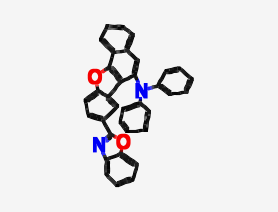 c1ccc(N(c2ccccc2)c2cc3ccccc3c3oc4ccc(-c5nc6ccccc6o5)cc4c23)cc1